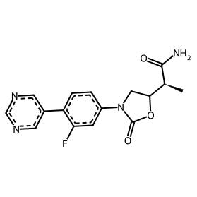 C[C@H](C(N)=O)C1CN(c2ccc(-c3cncnc3)c(F)c2)C(=O)O1